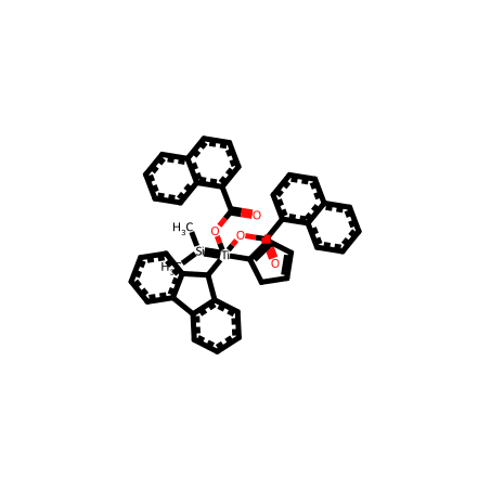 C[Si](C)=[Ti]([O]C(=O)c1cccc2ccccc12)([O]C(=O)c1cccc2ccccc12)([C]1=CC=CC1)[CH]1c2ccccc2-c2ccccc21